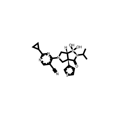 CC(C)N1C(=O)[C@]2(c3ccsc3)CN(c3nc(C4CC4)ncc3C#N)C[C@@H]2S1(O)O